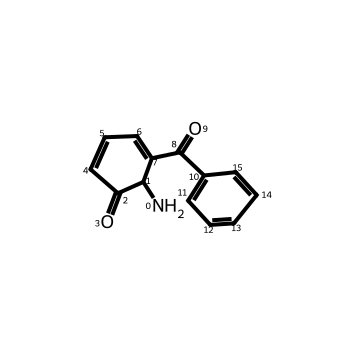 NC1C(=O)C=CC=C1C(=O)c1ccccc1